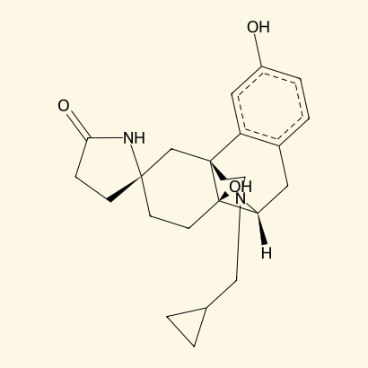 O=C1CC[C@@]2(CC[C@@]3(O)[C@H]4Cc5ccc(O)cc5[C@@]3(CCN4CC3CC3)C2)N1